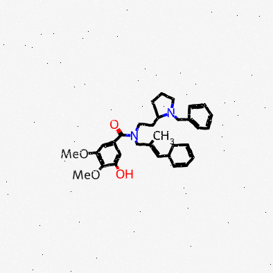 COc1cc(C(=O)N(CCC2CCCN2Cc2ccccc2)C/C(C)=C/C2C=CC=CC2)cc(O)c1OC